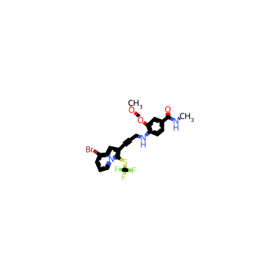 CNC(=O)c1ccc(NCC#Cc2cc3c(Br)cccn3c2SC(F)(F)F)c(OCOC)c1